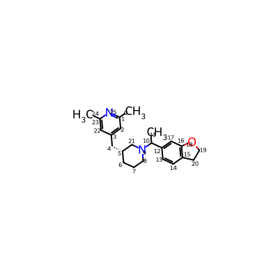 Cc1cc(C[C@H]2CCCN(C(C)c3ccc4c(c3)OCC4)C2)cc(C)n1